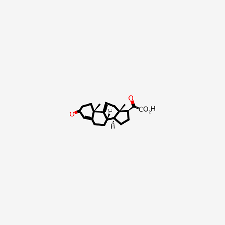 C[C@]12CCC(=O)C=C1CC[C@@H]1C2=CC[C@]2(C)[C@@H](C(=O)C(=O)O)CC[C@@H]12